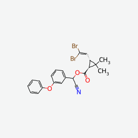 CC1(C)[C@@H](C=C(Br)Br)[C@@H]1C(=O)OC(C#N)c1cccc(Oc2ccccc2)c1